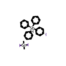 [CH3][Sn]([CH3])([I])[I].[I].c1cc[c]([SbH]([c]2ccccc2)([c]2ccccc2)[c]2ccccc2)cc1